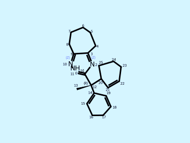 C=C(/N=C1/CCCCC/C1=N/N)[C@@](C)(C1=CCCC=C1)C1C=CCCC1